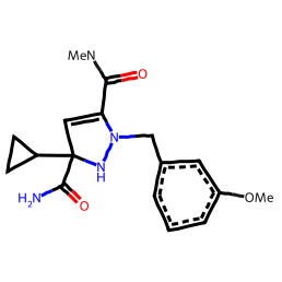 CNC(=O)C1=CC(C(N)=O)(C2CC2)NN1Cc1cccc(OC)c1